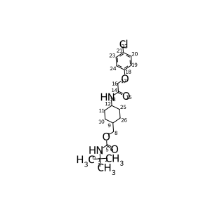 CC(C)(C)NC(=O)OCC1CCC(NC(=O)COc2ccc(Cl)cc2)CC1